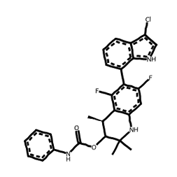 C[C@H]1c2c(cc(F)c(-c3cccc4c(Cl)c[nH]c34)c2F)NC(C)(C)C1OC(=O)Nc1ccccc1